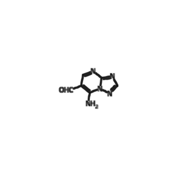 Nc1c(C=O)cnc2ncnn12